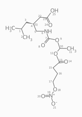 CC(C)C[C@H](CNC(=O)OC(C)OC(=O)CCCO[N+](=O)[O-])CC(=O)O